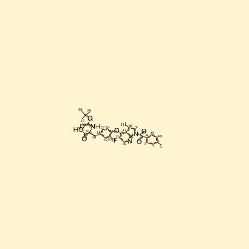 Cc1ccc(S(=O)(=O)n2cc(I)c3c(Oc4ccc(C[C@H](NC(=O)OC(C)(C)C)C(=O)O)cc4F)ccnc32)cc1